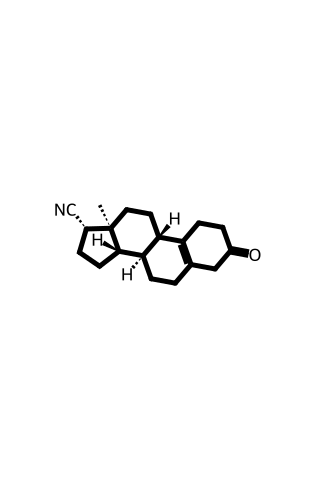 C[C@]12CC[C@@H]3C4=C(CC[C@H]3[C@@H]1CC[C@@H]2C#N)CC(=O)CC4